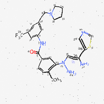 Cc1ccc(C(=O)Nc2cc(CN3CCCC3)cc(C(F)(F)F)c2)cc1N(N)/C=C(\N)c1cncs1